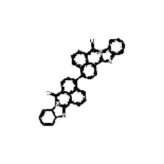 O=c1c2ccc(-c3ccc4c5c3cccc5c(=O)n3c5ccccc5nc43)c3cccc(c4n1C1C=CC=CC1N=4)c32